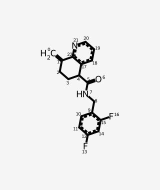 C=C1CCC(C(=O)NCc2ccc(F)cc2F)c2cccnc21